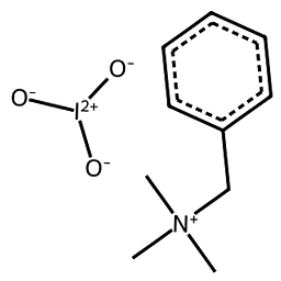 C[N+](C)(C)Cc1ccccc1.[O-][I+2]([O-])[O-]